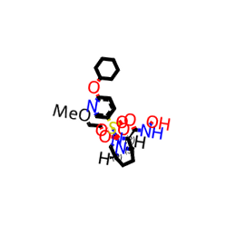 COCCOC(=O)N1[C@@H]2CC[C@H]1[C@H](C(=O)NO)N(S(=O)(=O)c1ccc(OC3CCCCC3)nc1)C2